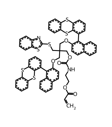 C=CC(=O)OCCNC(=O)OCC(COc1ccc2ccccc2c1-c1cccc2c1Sc1ccccc1S2)(COc1ccc2ccccc2c1-c1cccc2c1Sc1ccccc1S2)CSc1nc2ccccc2s1